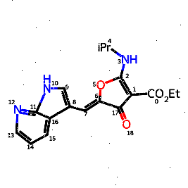 CCOC(=O)C1=C(NC(C)C)OC(=Cc2c[nH]c3ncccc23)C1=O